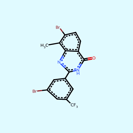 Cc1c(Br)ccc2c(=O)[nH]c(-c3cc(Br)cc(C(F)(F)F)c3)nc12